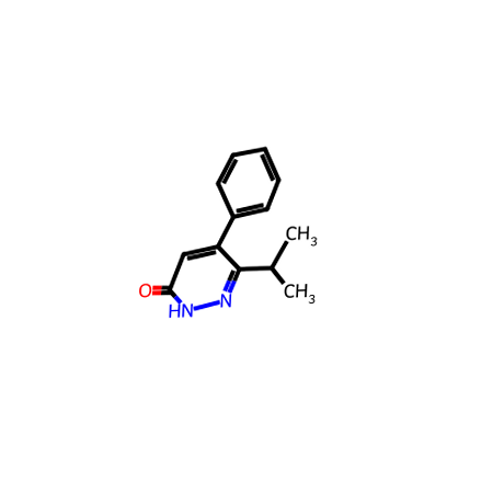 CC(C)c1n[nH]c(=O)cc1-c1ccccc1